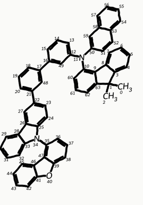 CC1(C)c2ccccc2-c2c(N(c3cccc(-c4cccc(-c5ccc6c(c5)c5ccccc5n6-c5cccc6oc7ccccc7c56)c4)c3)c3ccc4ccccc4c3)cccc21